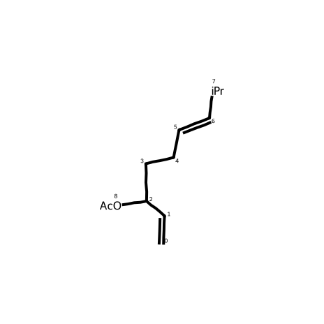 C=CC(CCC=CC(C)C)OC(C)=O